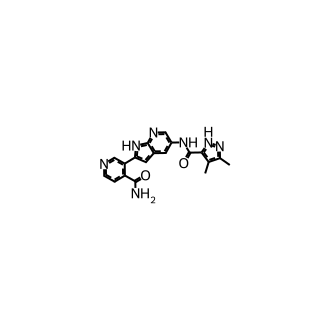 Cc1n[nH]c(C(=O)Nc2cnc3[nH]c(-c4cnccc4C(N)=O)cc3c2)c1C